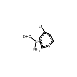 CCc1ccncc1.NNC=O